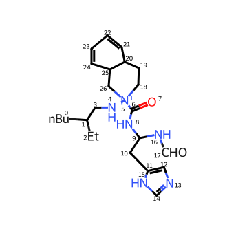 CCCCC(CC)CN[N+]1(C(=O)NC(Cc2cnc[nH]2)NC=O)CCC2C=CC=CC2C1